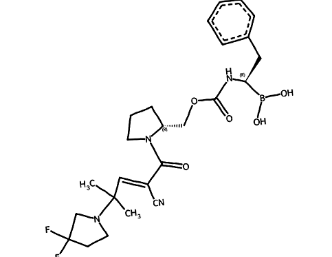 CC(C)(C=C(C#N)C(=O)N1CCC[C@@H]1COC(=O)N[C@@H](Cc1ccccc1)B(O)O)N1CCC(F)(F)C1